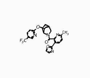 Cc1ccc(-c2ncco2)c(C(=O)N2CC3CCC2C(Oc2ccc(C(F)(F)F)cn2)C3)n1